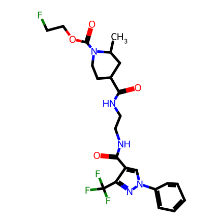 CC1CC(C(=O)NCCNC(=O)c2cn(-c3ccccc3)nc2C(F)(F)F)CCN1C(=O)OCCF